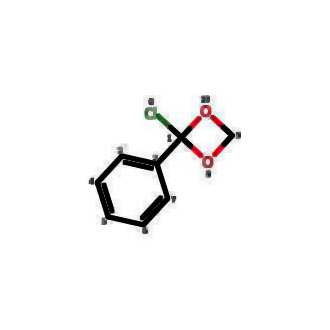 ClC1(c2ccccc2)OCO1